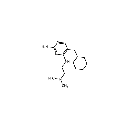 CN(C)CCNc1nc(N)ncc1CC1CCCCC1